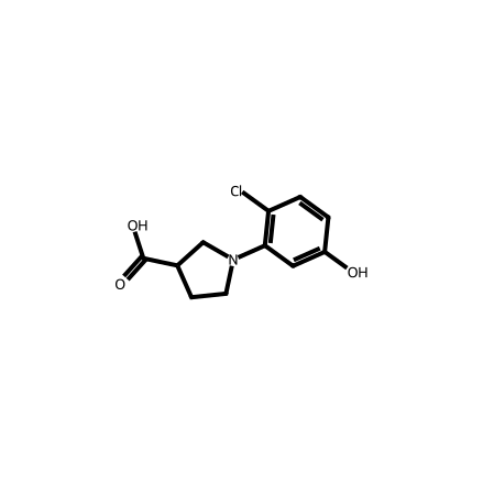 O=C(O)C1CCN(c2cc(O)ccc2Cl)C1